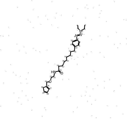 CCN(CC)/N=N/c1ccc(CCCCCCCCC(=O)NCCOCC2=CC=CC2)cc1